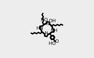 CCCCCCc1c2nc(c(-c3ccc(C(=O)O)cc3)c3ccc([nH]3)c(CCCCCC)c3nc(c(CCCCCC)c4ccc1[nH]4)C(O)C3O)C=C2